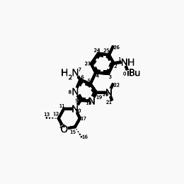 CCC(C)Nc1cc(-c2c(N)nc(N3C[C@@H](C)O[C@@H](C)C3)nc2N(C)C)ccc1C